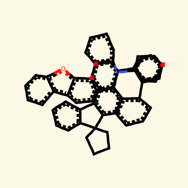 c1ccc(-c2ccccc2-c2ccccc2-c2ccccc2N(c2ccc3c(c2)-c2ccccc2C32CCCC2)c2ccccc2-c2cccc3c2oc2ccccc23)cc1